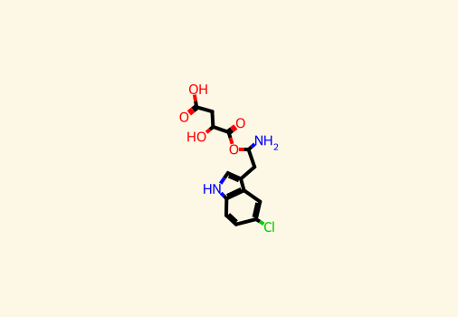 NC(Cc1c[nH]c2ccc(Cl)cc12)OC(=O)C(O)CC(=O)O